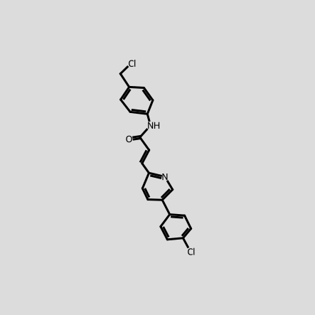 O=C(C=Cc1ccc(-c2ccc(Cl)cc2)cn1)Nc1ccc(CCl)cc1